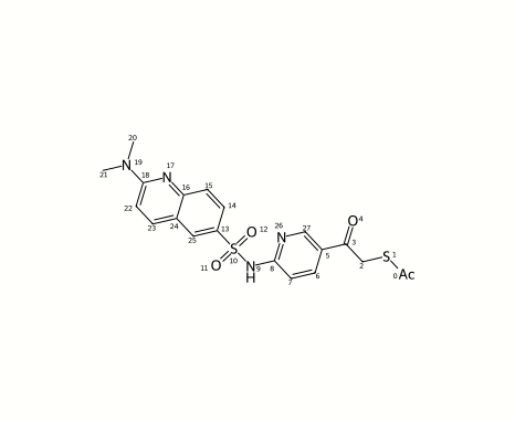 CC(=O)SCC(=O)c1ccc(NS(=O)(=O)c2ccc3nc(N(C)C)ccc3c2)nc1